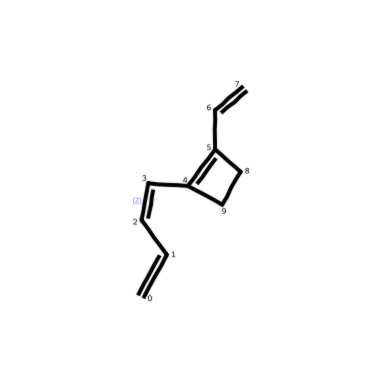 C=C/C=C\C1=C(C=C)CC1